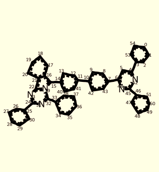 c1ccc(-c2cc(-c3ccc(-c4ccc(-c5c6ccccc6c6nc(-c7ccccc7)nc(-c7ccccc7)n56)cc4)cc3)nc(-c3ccccc3)n2)cc1